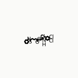 O=C(COC(=O)CCCc1nc2ccccc2s1)Nc1cc(Cl)c(Cl)cc1Cl